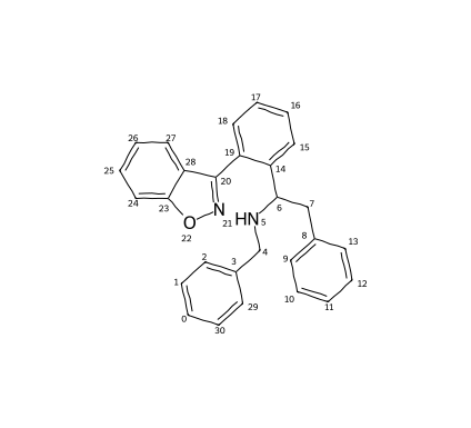 c1ccc(CNC(Cc2ccccc2)c2ccccc2-c2noc3ccccc23)cc1